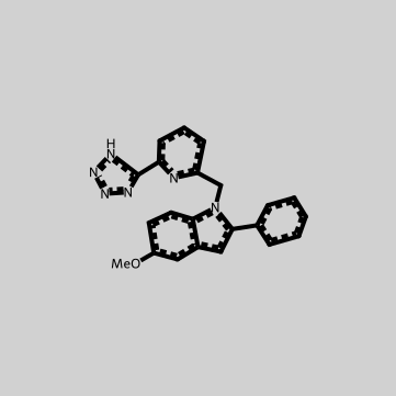 COc1ccc2c(c1)cc(-c1ccccc1)n2Cc1cccc(-c2nnn[nH]2)n1